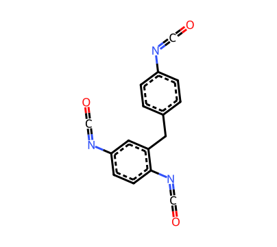 O=C=Nc1ccc(Cc2cc(N=C=O)ccc2N=C=O)cc1